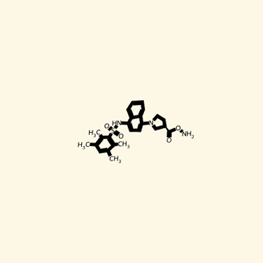 Cc1cc(C)c(C)c(S(=O)(=O)Nc2ccc(N3CC[C@@H](C(=O)ON)C3)c3ccccc23)c1C